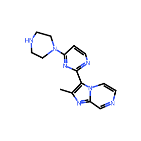 Cc1nc2cnccn2c1-c1nccc(N2CCNCC2)n1